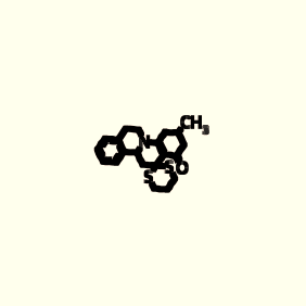 CC1CC(=O)C2=C(C1)N1CCc3ccccc3C1CC21SCCCS1